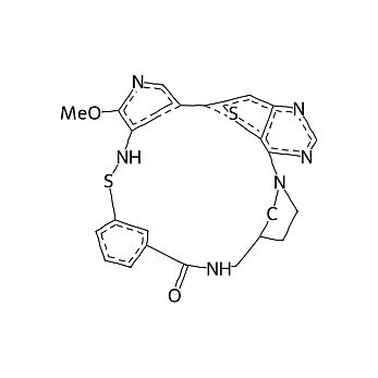 COc1ncc2cc1NSc1cccc(c1)C(=O)NCC1CCN(C1)c1ncnc3cc-2sc13